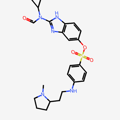 CN1CCCC1CCNc1ccc(S(=O)(=O)Oc2ccc3[nH]c(N(C=O)C4CC4)nc3c2)cc1